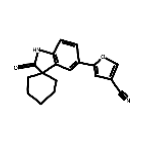 N#Cc1coc(-c2ccc3c(c2)C2(CCCCC2)C(=O)N3)c1